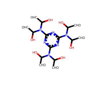 O=CC(O)N(c1nc(N(C(O)C=O)C(O)C=O)nc(N(C(O)C=O)C(O)C=O)n1)C(O)C=O